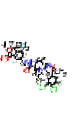 CC1=C[N+]2(C3=NOC(c4cc(Cl)c(Cl)c(Cl)c4)(C(F)(F)F)C3)C=CC=C(C(=O)NCc3cc(F)c4c(c3)B(O)OC4(C)C)C2=C1